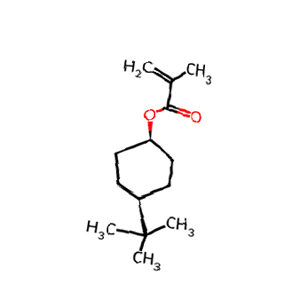 C=C(C)C(=O)O[C@H]1CC[C@@H](C(C)(C)C)CC1